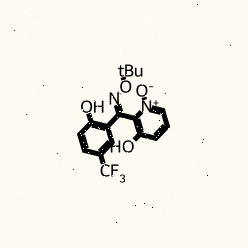 CC(C)(C)ON=C(c1cc(C(F)(F)F)ccc1O)c1c(O)ccc[n+]1[O-]